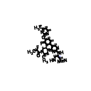 C=C(F)C(=O)N1CCN(c2nc(N/C(C=N)=C/NC)ncc2-c2ccc(Oc3nccc(C)n3)c(F)c2)C[C@H]1C